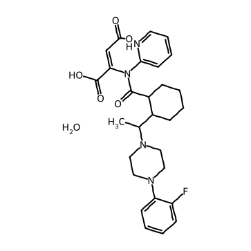 CC(C1CCCCC1C(=O)N(/C(=C\C(=O)O)C(=O)O)c1ccccn1)N1CCN(c2ccccc2F)CC1.O